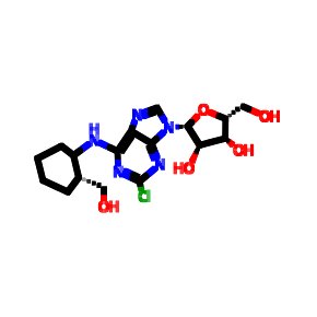 OC[C@@H]1CCCCC1Nc1nc(Cl)nc2c1ncn2[C@@H]1O[C@H](CO)[C@@H](O)[C@H]1O